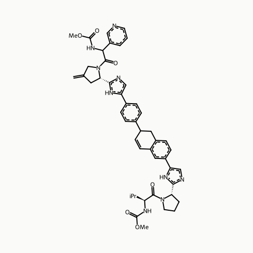 C=C1C[C@@H](c2ncc(-c3ccc(C4C=Cc5cc(-c6cnc([C@@H]7CCCN7C(=O)[C@@H](NC(=O)OC)C(C)C)[nH]6)ccc5C4)cc3)[nH]2)N(C(=O)C(NC(=O)OC)c2cccnc2)C1